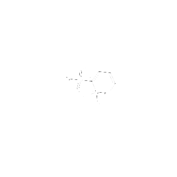 NS(=O)(=O)C1=CC=CS[N+]1([O-])[O-]